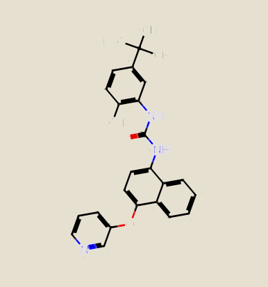 Cc1ccc(C(C)(C)C)cc1NC(=O)Nc1ccc(Oc2cccnc2)c2ccccc12